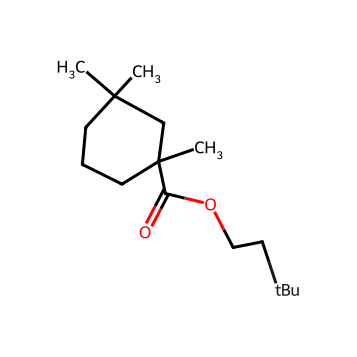 CC(C)(C)CCOC(=O)C1(C)CCCC(C)(C)C1